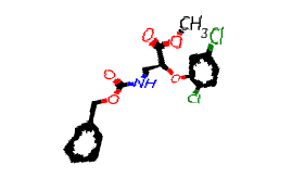 COC(=O)[C@H](CNC(=O)OCc1ccccc1)Oc1cc(Cl)ccc1Cl